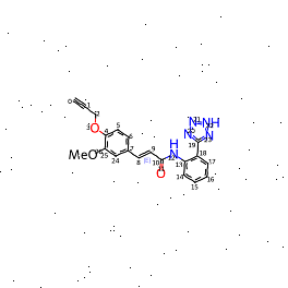 C#CCOc1ccc(/C=C/C(=O)Nc2ccccc2-c2nn[nH]n2)cc1OC